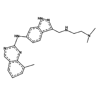 Cc1cccc2cnc(Nc3ccc4c(CNCCN(C)C)n[nH]c4c3)nc12